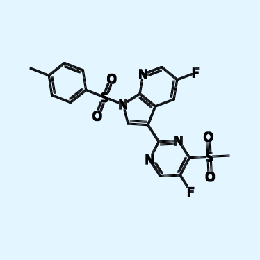 Cc1ccc(S(=O)(=O)n2cc(-c3ncc(F)c(S(C)(=O)=O)n3)c3cc(F)cnc32)cc1